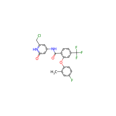 Cc1cc(F)ccc1Oc1cc(C(F)(F)F)ccc1C(=O)Nc1cc(CCl)[nH]c(=O)c1